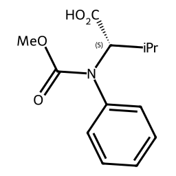 COC(=O)N(c1ccccc1)[C@H](C(=O)O)C(C)C